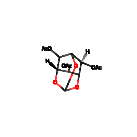 CC(=O)OC1C2OC3OC(C(OC(C)=O)[C@H]1O3)[C@H]2OC(C)=O